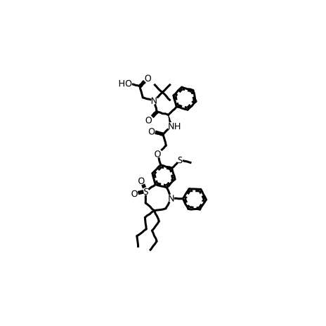 CCCCC1(CCCC)CN(c2ccccc2)c2cc(SC)c(OCC(=O)N[C@@H](C(=O)N(CC(=O)O)C(C)(C)C)c3ccccc3)cc2S(=O)(=O)C1